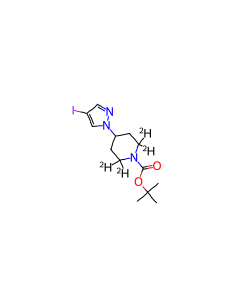 [2H]C1([2H])CC(n2cc(I)cn2)CC([2H])([2H])N1C(=O)OC(C)(C)C